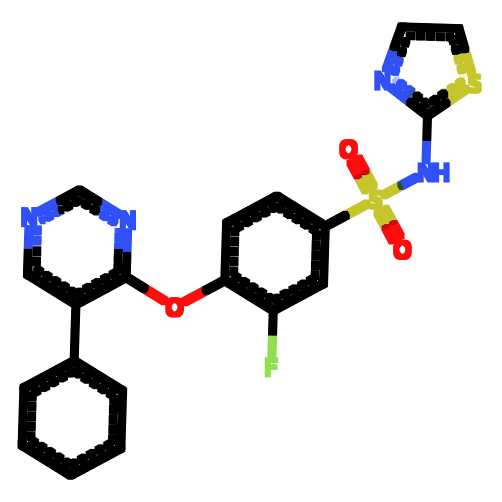 O=S(=O)(Nc1nccs1)c1ccc(Oc2ncncc2-c2ccccc2)c(F)c1